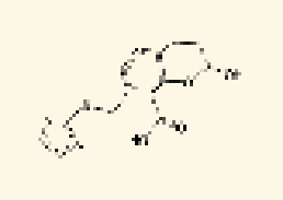 O=C(O)c1c(CSc2nccs2)ccc2c1OB(O)CC2